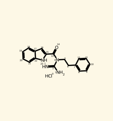 Cl.N=C(N)N(CCc1ccccc1)C(=O)c1cc2ccccc2[nH]1